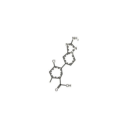 Cc1cc(Cl)c(-c2ccn3nc(N)nc3c2)cc1C(=O)O